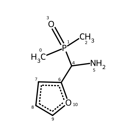 CP(C)(=O)C(N)c1ccco1